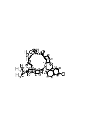 C[C@@H]1[C@@H](C)C/C=C/[C@](O)([C@@H](C)C(=O)N(C)C)[C@@H]2CC[C@H]2CN2C[C@@]3(CCCc4cc(Cl)ccc43)COc3ccc(cc32)C(=O)NS1(=O)=O